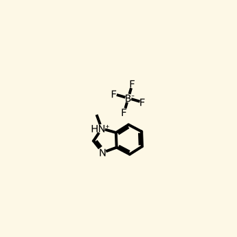 C[NH+]1C=Nc2ccccc21.F[B-](F)(F)F